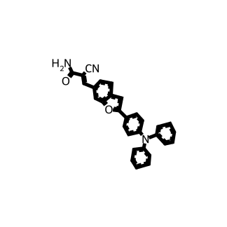 N#C/C(=C\c1ccc2cc(-c3ccc(N(c4ccccc4)c4ccccc4)cc3)oc2c1)C(N)=O